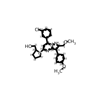 COCc1nn2c(-c3cccc(Cl)c3)cc(N3CCCC3CO)nc2c1-c1ccc(OC)cc1